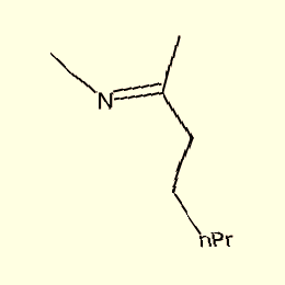 CCCCCC(C)=NC